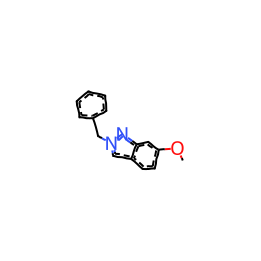 COc1ccc2cn(Cc3ccccc3)nc2c1